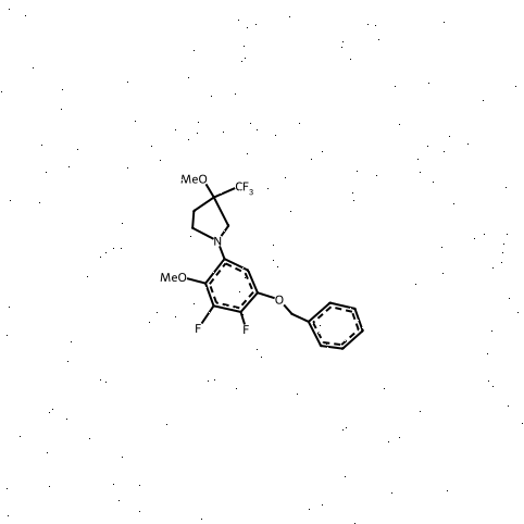 COc1c(N2CCC(OC)(C(F)(F)F)C2)cc(OCc2ccccc2)c(F)c1F